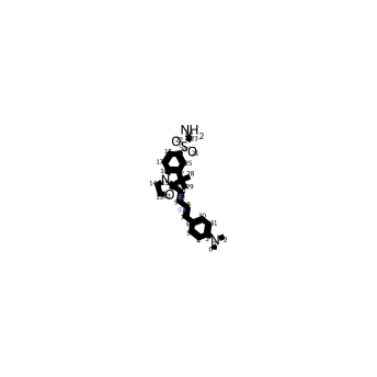 CN(C)c1ccc(/C=C/C=C/C23OCCN2c2ccc(S(=O)(=O)CN)cc2C3(C)C)cc1